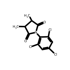 CC1C(=O)N(c2c(Cl)cc(Cl)cc2Cl)C(=O)C1C